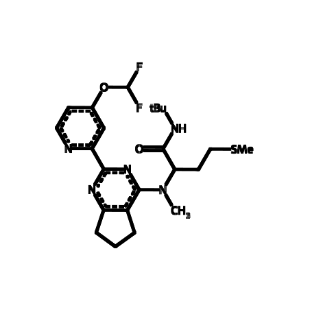 CSCCC(C(=O)NC(C)(C)C)N(C)c1nc(-c2cc(OC(F)F)ccn2)nc2c1CCC2